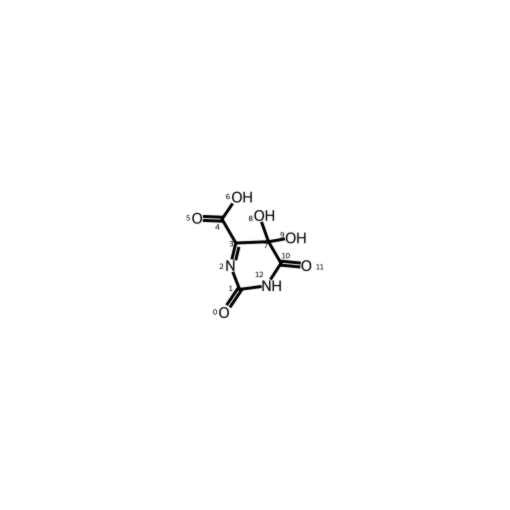 O=C1N=C(C(=O)O)C(O)(O)C(=O)N1